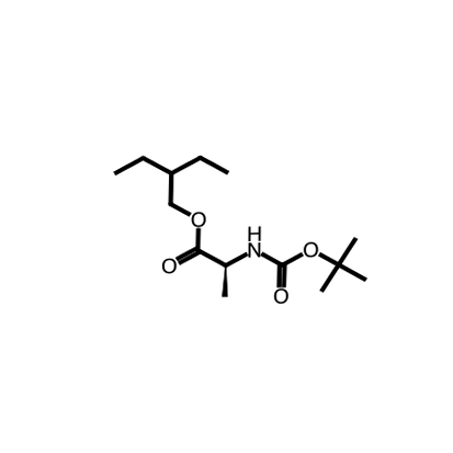 CCC(CC)COC(=O)[C@H](C)NC(=O)OC(C)(C)C